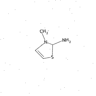 [CH2]N1C=CSC1N